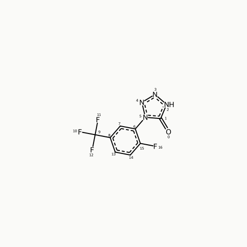 O=c1[nH]nnn1-c1cc(C(F)(F)F)ccc1F